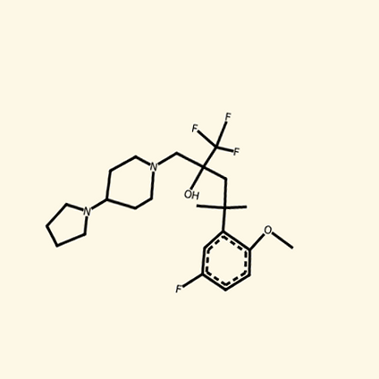 COc1ccc(F)cc1C(C)(C)CC(O)(CN1CCC(N2CCCC2)CC1)C(F)(F)F